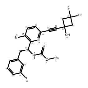 CC(C)(C)OC(=O)N[C@@H](Cc1cccc(F)c1)c1nc(C#CC2(O)CC(F)(F)C2)ccc1Br